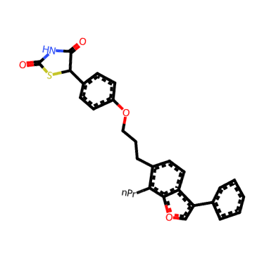 CCCc1c(CCCOc2ccc(C3SC(=O)NC3=O)cc2)ccc2c(-c3ccccc3)coc12